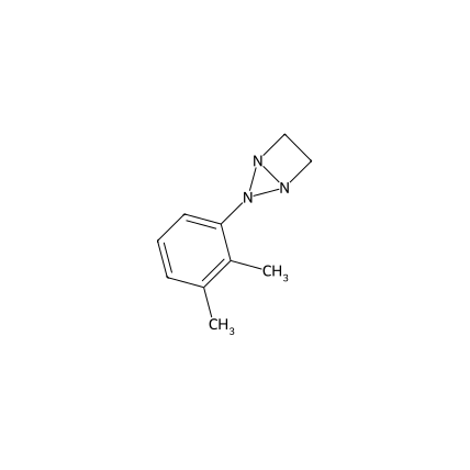 Cc1cccc(-n2n3n2CC3)c1C